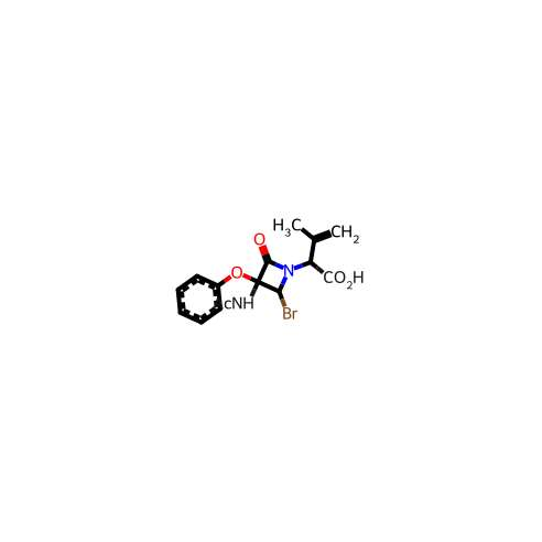 C=C(C)C(C(=O)O)N1C(=O)C(NC(C)=O)(Oc2ccccc2)C1Br